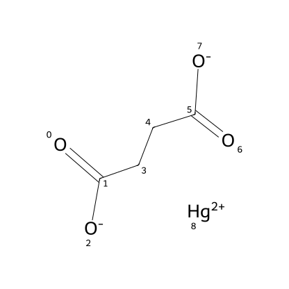 O=C([O-])CCC(=O)[O-].[Hg+2]